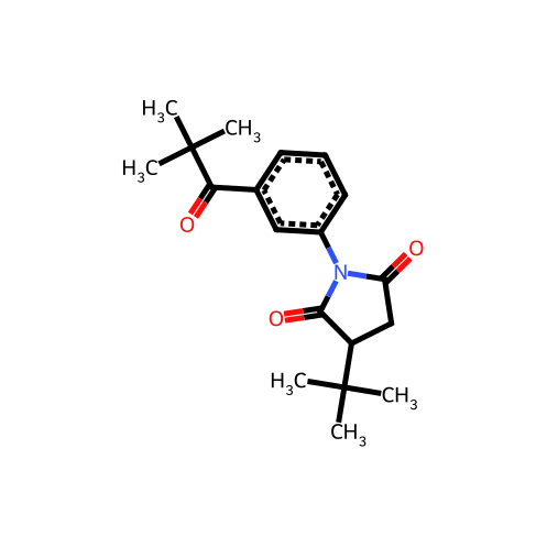 CC(C)(C)C(=O)c1cccc(N2C(=O)CC(C(C)(C)C)C2=O)c1